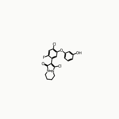 O=c1c(-c2cc(Oc3cccc(O)c3)c(Cl)cc2F)c(Cl)n2n1CCCC2